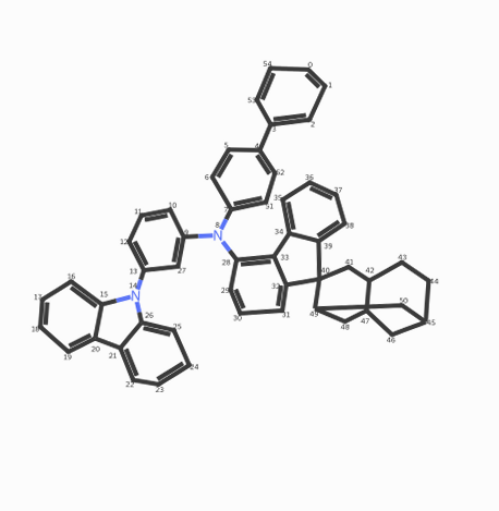 c1ccc(-c2ccc(N(c3cccc(-n4c5ccccc5c5ccccc54)c3)c3cccc4c3-c3ccccc3C43CC4CCC5CC4CC3C5)cc2)cc1